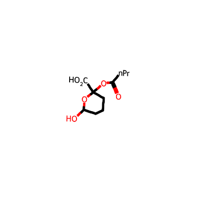 CCCC(=O)OC1(C(=O)O)CCCC(O)O1